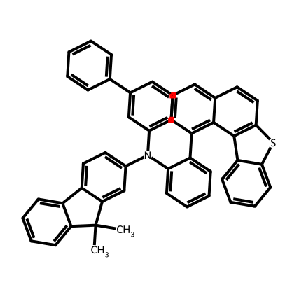 CC1(C)c2ccccc2-c2ccc(N(c3cccc(-c4ccccc4)c3)c3ccccc3-c3cccc4ccc5sc6ccccc6c5c34)cc21